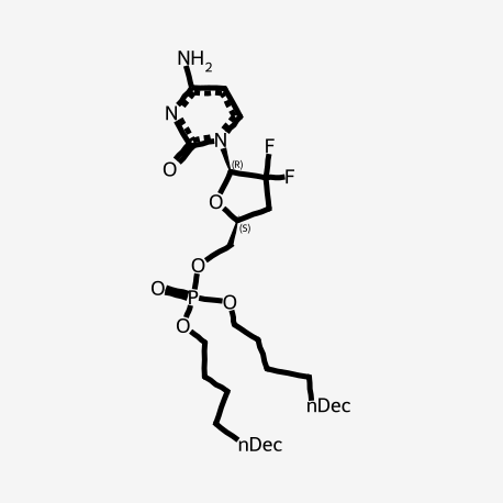 CCCCCCCCCCCCCCOP(=O)(OCCCCCCCCCCCCCC)OC[C@@H]1CC(F)(F)[C@H](n2ccc(N)nc2=O)O1